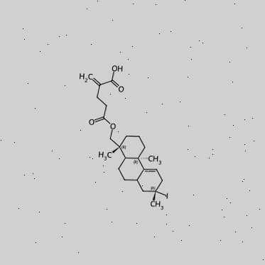 C=C(CCC(=O)OC[C@]1(C)CCC[C@@]2(C)C3=CC[C@](C)(I)CC3CCC12)C(=O)O